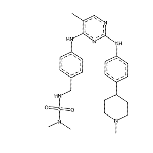 Cc1cnc(Nc2ccc(C3CCN(C)CC3)cc2)nc1Nc1ccc(CNS(=O)(=O)N(C)C)cc1